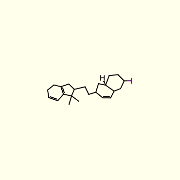 CC1(C)C2=C(CCC=C2)CC1CCC1C=CC2CC(I)CC[C@H]2C1